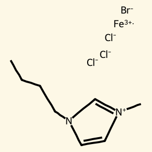 CCCCn1cc[n+](C)c1.[Br-].[Cl-].[Cl-].[Cl-].[Fe+3]